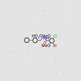 COc1c(Cl)cc(Br)c(OC)c1C(=O)NC(Cc1ccc(-c2ccccc2)cc1)C(=O)O